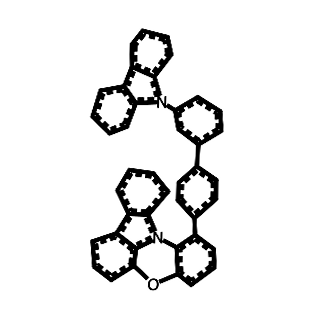 c1cc(-c2ccc(-c3cccc4c3-n3c5ccccc5c5cccc(c53)O4)cc2)cc(-n2c3ccccc3c3ccccc32)c1